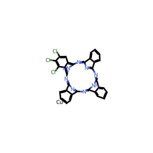 Clc1cc2c3nc4nc(nc5[nH]c(nc6nc(nc([nH]3)c2c(Cl)c1Cl)-c1ccccc1-6)c1ccccc51)-c1ccccc1-4.[Cu]